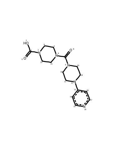 O=C(O)N1CCN(C(=O)N2CCN(c3ccncc3)CC2)CC1